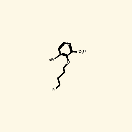 CCCc1cccc(C(=O)O)c1OCCCCC(C)C